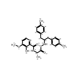 COc1ccnc(C(=O)N[C@@H](C)C(=O)ONC(Cc2ccc(C)cc2)Cc2ccc(C)cc2)c1O